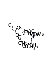 CO[C@H](C)[C@H]1/C(F)=C/C[C@H](C)[C@@H](C)S(=O)(=O)NC(=O)c2ccc3c(c2)N(CCCOc2cc(Cl)ccc2CO3)C[C@@H]2CCCN21